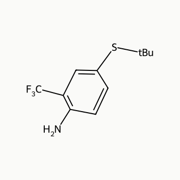 CC(C)(C)Sc1ccc(N)c(C(F)(F)F)c1